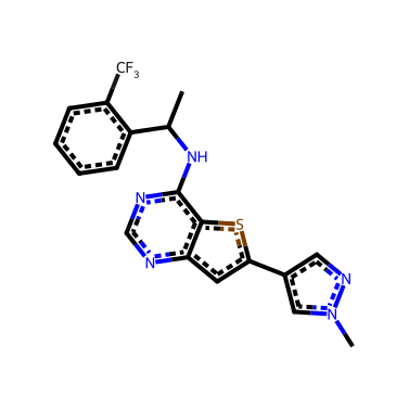 CC(Nc1ncnc2cc(-c3cnn(C)c3)sc12)c1ccccc1C(F)(F)F